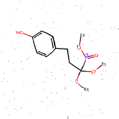 CCO[PH](=O)C(CCc1ccc(O)cc1)(OCC)OCC